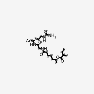 C=C(CBr)C(=O)OC(C)CCCCC(=O)NCC(=O)NC(SCCNC(N)=O)C(C)=O